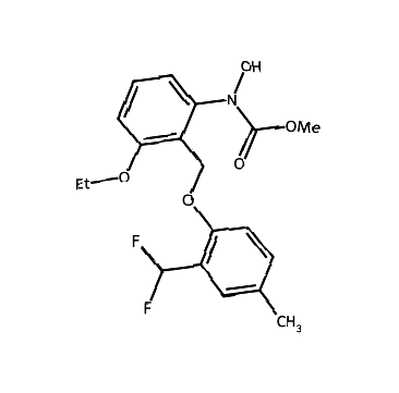 CCOc1cccc(N(O)C(=O)OC)c1COc1ccc(C)cc1C(F)F